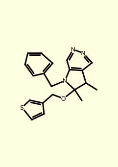 CC1c2cnncc2N(Cc2ccccc2)C1(C)OCc1ccsc1